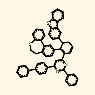 C1=CC(c2cc(-c3ccc(-c4ccccc4)cc3)nc(-c3ccccc3)n2)=C(c2ccc3c(c2)-c2ccccc2SCC3)C(c2ccc3sc4ccccc4c3c2)C1